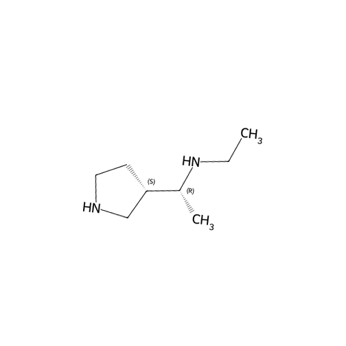 CCN[C@H](C)[C@H]1CCNC1